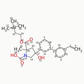 C=Cc1cccc(-c2cccc(C3(O)CN(C(=O)O)C(C)(C(=O)OCC[Si](C)(C)C)C3)c2)c1